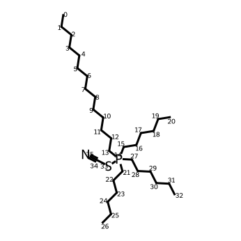 CCCCCCCCCCCCCCP(CCCCCC)(CCCCCC)(CCCCCC)SC#N